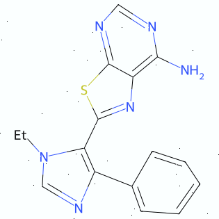 CCn1cnc(-c2ccccc2)c1-c1nc2c(N)ncnc2s1